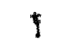 CC(C)C1C(=O)NC2=Nc3ccc(OCCCCCCn4ccnc4)c(Cl)c3CN21